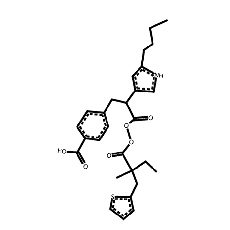 CCCCc1cc(C(Cc2ccc(C(=O)O)cc2)C(=O)OOC(=O)C(C)(CC)Cc2cccs2)c[nH]1